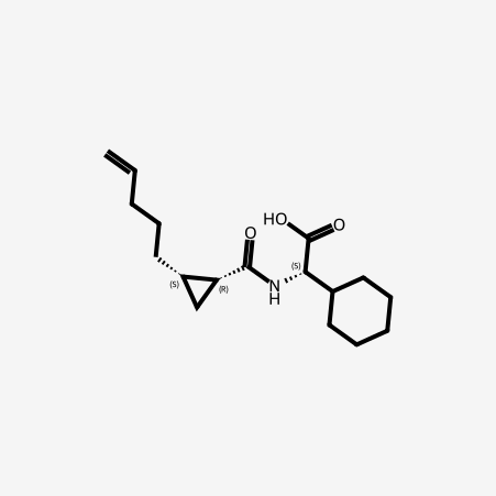 C=CCCC[C@H]1C[C@H]1C(=O)N[C@H](C(=O)O)C1CCCCC1